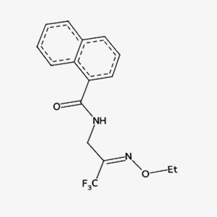 CCON=C(CNC(=O)c1cccc2ccccc12)C(F)(F)F